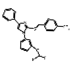 FC(F)Oc1cccc(-n2cc(-c3ccccc3)nc2SCc2ccc(C(F)(F)F)cc2)c1